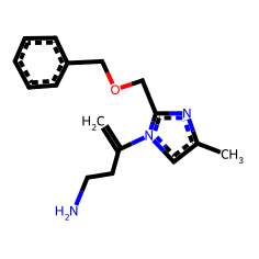 C=C(CCN)n1cc(C)nc1COCc1ccccc1